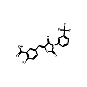 O=C(O)c1cc(/C=C2\SC(=S)N(c3cccc(C(F)(F)F)c3)C2=O)ccc1O